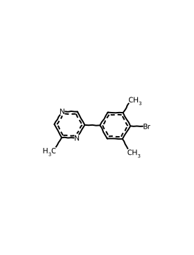 Cc1cncc(-c2cc(C)c(Br)c(C)c2)n1